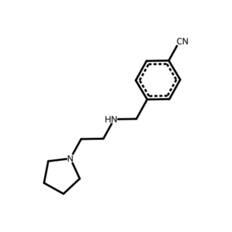 N#Cc1ccc(CNCCN2CCCC2)cc1